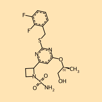 C[C@@H](CO)Oc1cc(C2CCN2S(N)(=O)=O)nc(SCc2cccc(F)c2F)n1